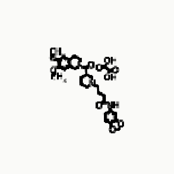 COc1cc2c(cc1OC)CN(C(=O)C1CCCN(CCCC(=O)Nc3ccc4c(c3)OCO4)C1)CC2.O=C(O)C(=O)O